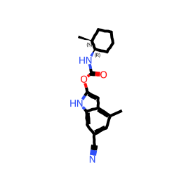 Cc1cc(C#N)cc2[nH]c(OC(=O)N[C@@H]3CCCC[C@@H]3C)cc12